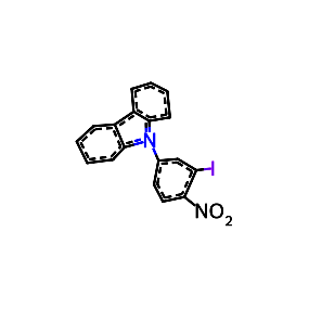 O=[N+]([O-])c1ccc(-n2c3ccccc3c3ccccc32)cc1I